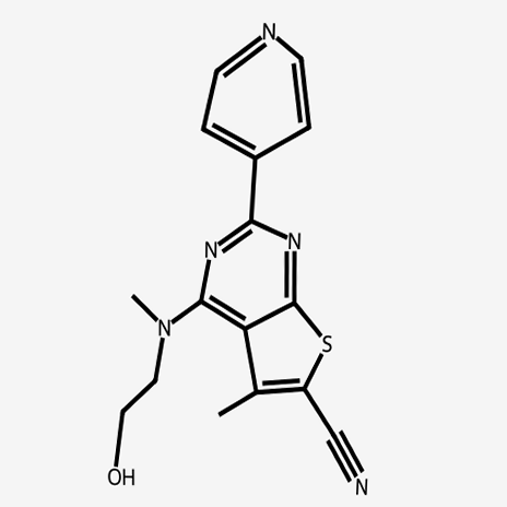 Cc1c(C#N)sc2nc(-c3ccncc3)nc(N(C)CCO)c12